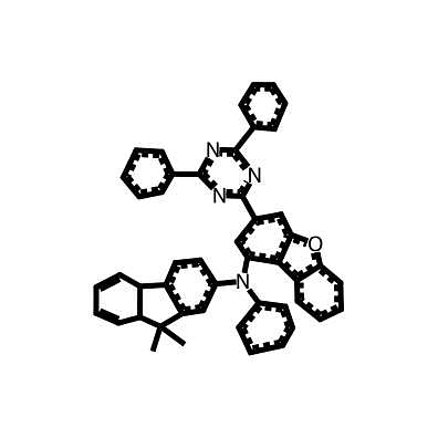 CC1(C)c2cc(N(c3ccccc3)c3cc(-c4nc(-c5ccccc5)nc(-c5ccccc5)n4)cc4oc5ccccc5c34)ccc2C2C=CC=CC21